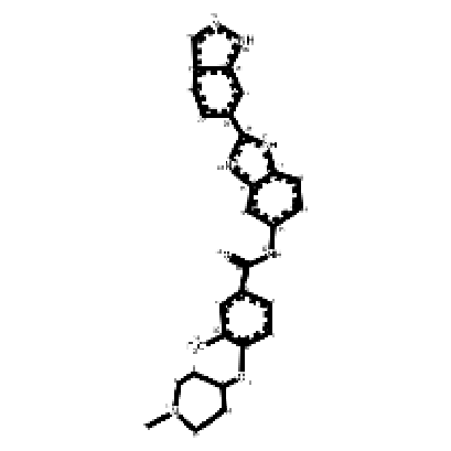 CN1CCC(Oc2ccc(C(=O)Nc3ccc4[nH]c(-c5ccc6cn[nH]c6c5)nc4c3)cc2C(F)(F)F)CC1